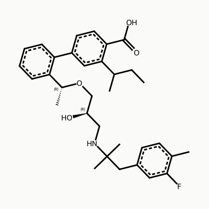 CCC(C)c1cc(-c2ccccc2[C@@H](C)OC[C@H](O)CNC(C)(C)Cc2ccc(C)c(F)c2)ccc1C(=O)O